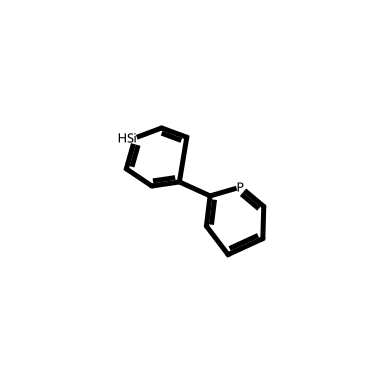 c1ccc(-c2cc[siH]cc2)pc1